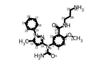 COc1ccc(N(C(N)=O)c2cc(C)n(-c3ccccc3)n2)cc1C(=O)NCCCN